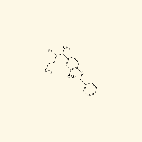 CCN(CCN)C(C)c1ccc(OCc2ccccc2)c(OC)c1